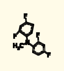 CN(c1ccc(F)cc1F)c1ccc(F)cc1F